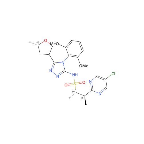 COc1cccc(OC)c1-n1c(NS(=O)(=O)[C@@H](C)[C@H](C)c2ncc(Cl)cn2)nnc1C1CO[C@@H](C)C1